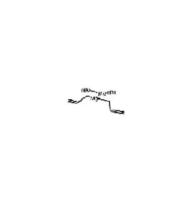 C=C[CH2][Mg][CH2]C=C.CCC[CH2][Mg][CH2]CCC